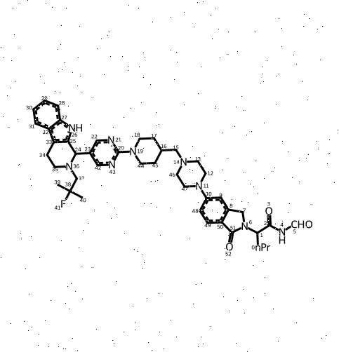 CCCC(C(=O)NC=O)N1Cc2cc(N3CCN(CC4CCN(c5ncc(C6c7[nH]c8ccccc8c7CCN6CC(C)(C)F)cn5)CC4)CC3)ccc2C1=O